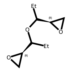 CCC(OC(CC)[C@H]1CO1)[C@H]1CO1